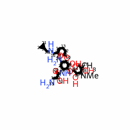 CN[C@@H]1[C@@H](O)[C@@H](O[C@@H]2[C@@H](O)[C@H](O[C@@H]3CCC=C(CNCC4CC4)O3)[C@@H](N)C[C@H]2NC(=O)[C@H](O)CN)OC[C@]1(C)O